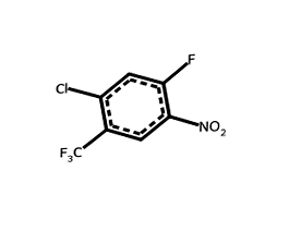 O=[N+]([O-])c1cc(C(F)(F)F)c(Cl)cc1F